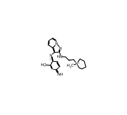 C[N+]1(CCCNc2nn3ccccc3c2/N=C2\C=CC(=N)C=C2O)CCCCC1